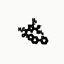 Cc1nc(N(C)C(=O)[C@@H]2Cc3ccc(-c4ccccn4)cc3C2)sc1[S+](N)[O-]